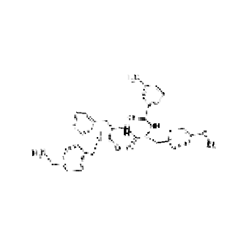 CCOc1ccc(CC(NC(=O)c2cccc(C(F)(F)F)c2)C(=O)NC(Cc2ccccc2)C(=O)NCc2ccc(CN)cc2)cc1